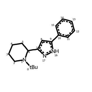 CC(C)(C)N1CCCCC1c1cc(-c2ccccc2)[nH]n1